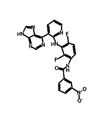 O=C(Nc1ccc(F)c(Nc2ncccc2-c2ncnc3[nH]cnc23)c1F)c1cccc([N+](=O)[O-])c1